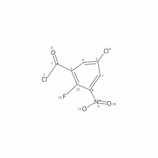 O=C(Cl)c1cc(Cl)cc([N+](=O)[O-])c1F